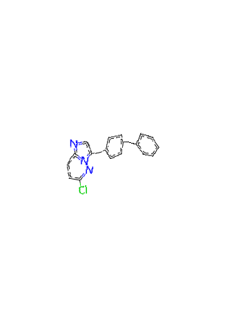 Clc1ccc2ncc(-c3ccc(-c4ccccc4)cc3)n2n1